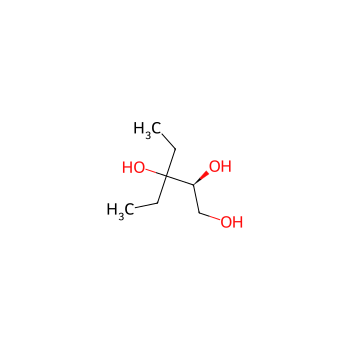 CCC(O)(CC)[C@@H](O)CO